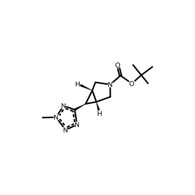 Cn1nnc([C@H]2[C@@H]3CN(C(=O)OC(C)(C)C)C[C@@H]32)n1